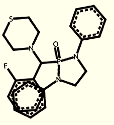 O=P1(C(c2ccccc2F)N2CCSCC2)N(c2ccccc2)CCN1c1ccccc1